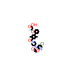 Cc1cc(-c2ccccc2O[C@H](C)CC(=O)O)c(C)cc1C(=O)N1CCC(N2C(=O)C(C)(C)Oc3ncc(Cl)cc32)CC1